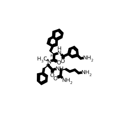 CN(C(=O)[C@@H](Cc1ccc2ccccc2c1)NC(=O)c1cccc(CN)c1)[C@H](Cc1ccccc1)C(=O)N[C@@H](CCCCN)C(N)=O